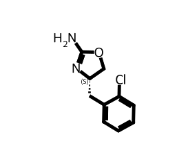 NC1=N[C@@H](Cc2ccccc2Cl)CO1